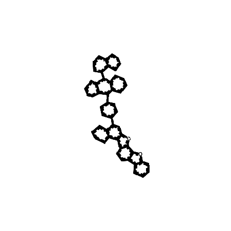 c1ccc2c(-c3c4ccccc4c(-c4ccc(-c5cc6oc7c(ccc8c9ccccc9oc87)c6c6ccccc56)cc4)c4ccccc34)cccc2c1